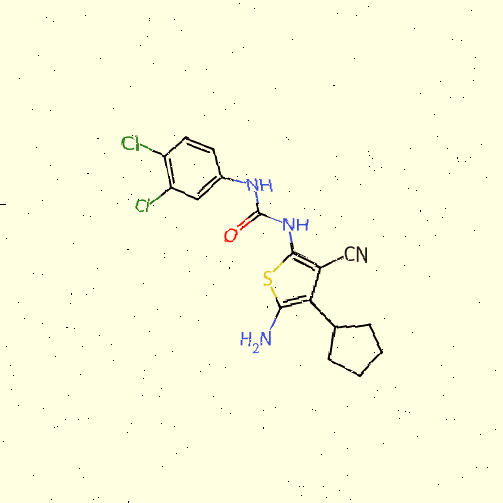 N#Cc1c(NC(=O)Nc2ccc(Cl)c(Cl)c2)sc(N)c1C1CCCC1